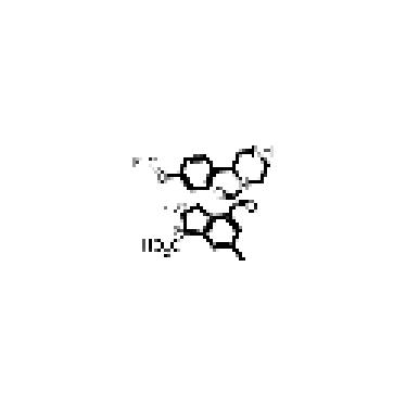 Cc1cc2c(c(S(=O)(=O)N3CCNCC3c3ccc(OC(F)(F)F)cc3)c1)C[C@@H](C)[C@H]2C(=O)O